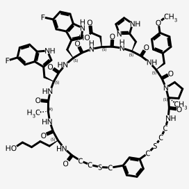 COc1ccc(C[C@@H]2NC(=O)[C@H](Cc3ncc[nH]3)NC(=O)[C@H](CC(=O)O)NC(=O)[C@H](Cc3c[nH]c4ccc(F)cc34)NC(=O)[C@H](Cc3c[nH]c4ccc(F)cc34)NC(=O)[C@@H](C)NC(=O)[C@H](CCCCO)NC(=O)CCSCc3cccc(c3)CSCCNC(=O)[C@]3(C)CCCN3C2=O)cc1